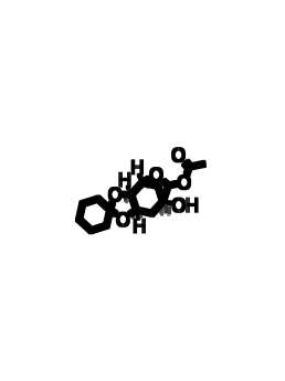 CC(=O)OC1O[C@@H]2C[C@@]1(O)C[C@H]1OC3(CCCCC3)O[C@@H]21